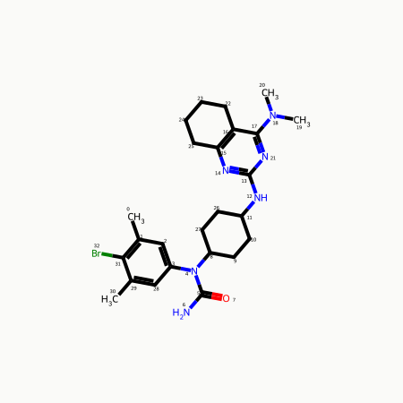 Cc1cc(N(C(N)=O)C2CCC(Nc3nc4c(c(N(C)C)n3)CCCC4)CC2)cc(C)c1Br